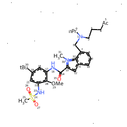 CCCN(CCCC(C)=O)Cc1cccc2cc(C(=O)Nc3cc(C(C)(C)C)cc(NS(C)(=O)=O)c3OC)n(C)c12